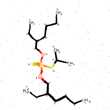 CCCCC(CC)COP(=S)(OCC(CC)CCCC)SC(C)C